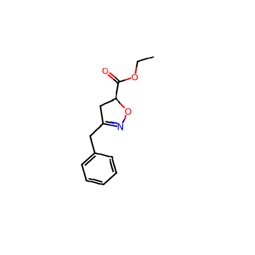 CCOC(=O)C1CC(Cc2ccccc2)=NO1